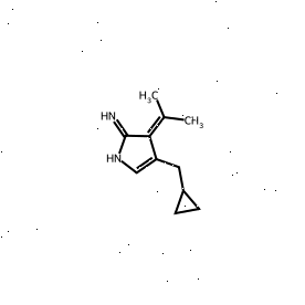 CC(C)=C1C(=N)NC=C1CC1CC1